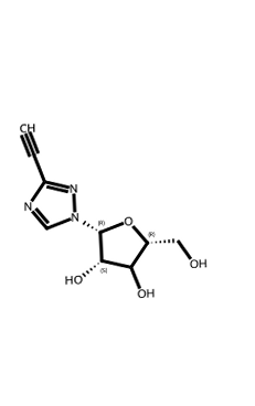 C#Cc1ncn([C@@H]2O[C@H](CO)C(O)[C@@H]2O)n1